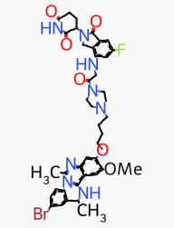 COc1cc2c(NC(C)c3cccc(Br)c3)nc(C)nc2cc1OCCCCN1CCN(C(=O)CNc2cc(F)cc3c2CN(C2CCC(=O)NC2=O)C3=O)CC1